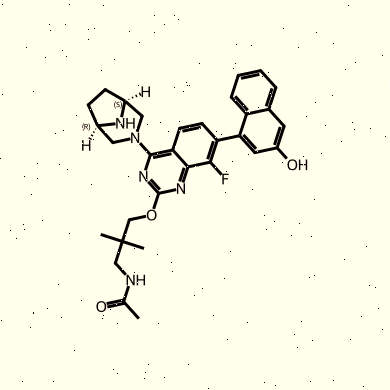 CC(=O)NCC(C)(C)COc1nc(N2C[C@H]3CC[C@@H](C2)N3)c2ccc(-c3cc(O)cc4ccccc34)c(F)c2n1